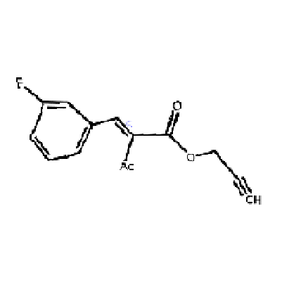 C#CCOC(=O)/C(=C/c1cccc(F)c1)C(C)=O